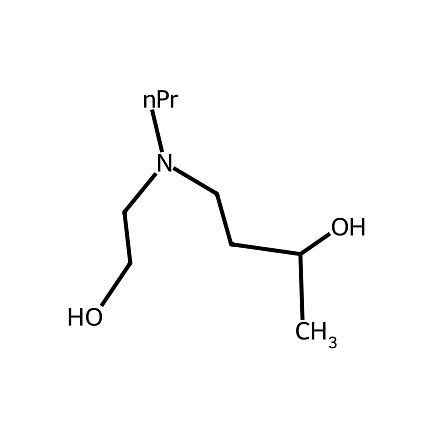 CCCN(CCO)CCC(C)O